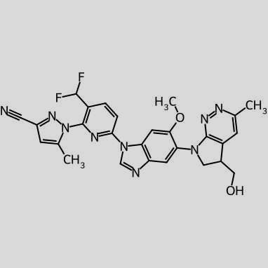 COc1cc2c(cc1N1CC(CO)c3cc(C)nnc31)ncn2-c1ccc(C(F)F)c(-n2nc(C#N)cc2C)n1